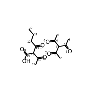 CC(=O)C(C(C)=O)C(C)=O.CCCC(=O)C(C(C)=O)C(=O)O